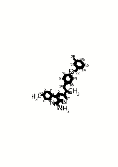 Cc1ccc2c(c1)nc(N)c1ncc(C(C)Cc3ccc(OCc4cccc(I)c4)cc3)cc12